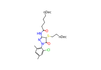 CCCCCCCCCCCCCCC(=O)NC1=NN(c2c(C)cc(C)cc2Cl)C(=O)C1SCCCCCCCCCCCC